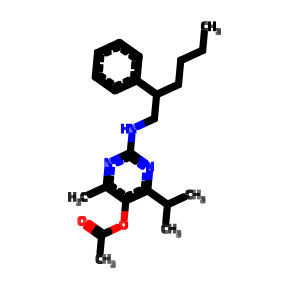 CCCCC(CNc1nc(C)c(OC(C)=O)c(C(C)C)n1)c1ccccc1